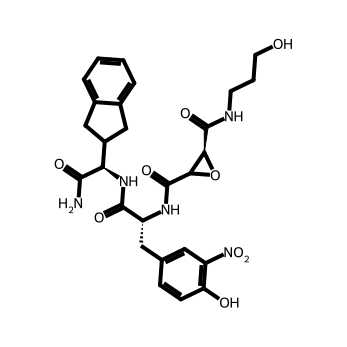 NC(=O)[C@H](NC(=O)[C@@H](Cc1ccc(O)c([N+](=O)[O-])c1)NC(=O)C1O[C@@H]1C(=O)NCCCO)C1Cc2ccccc2C1